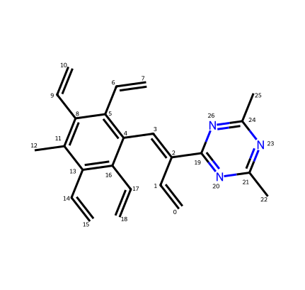 C=C/C(=C\c1c(C=C)c(C=C)c(C)c(C=C)c1C=C)c1nc(C)nc(C)n1